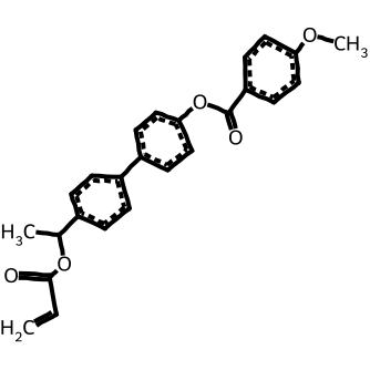 C=CC(=O)OC(C)c1ccc(-c2ccc(OC(=O)c3ccc(OC)cc3)cc2)cc1